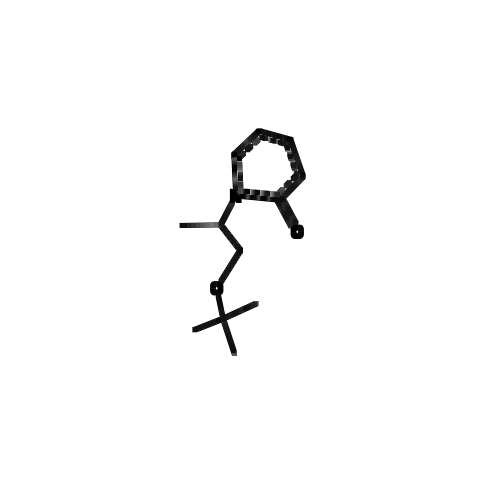 CC(COC(C)(C)C)n1ccccc1=O